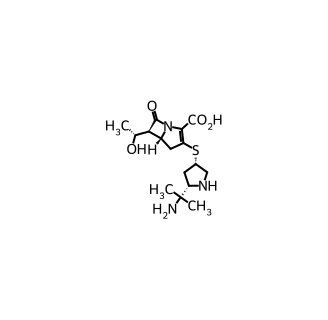 C[C@@H](O)[C@H]1C(=O)N2C(C(=O)O)=C(S[C@@H]3CN[C@H](C(C)(C)N)C3)C[C@H]12